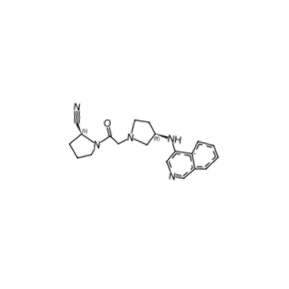 N#C[C@@H]1CCCN1C(=O)CN1CC[C@@H](Nc2cncc3ccccc23)C1